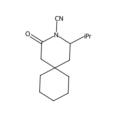 CC(C)C1CC2(CCCCC2)CC(=O)N1C#N